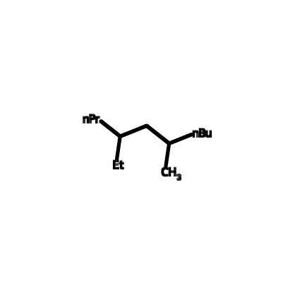 C[CH]CC(CC)CC(C)CCCC